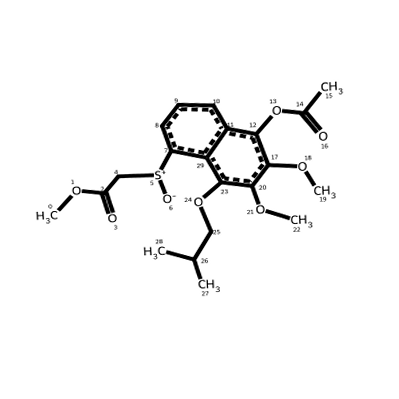 COC(=O)C[S+]([O-])c1cccc2c(OC(C)=O)c(OC)c(OC)c(OCC(C)C)c12